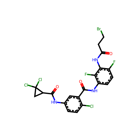 O=C(CCBr)Nc1c(F)ccc(NC(=O)c2cc(NC(=O)C3CC3(Cl)Cl)ccc2Cl)c1F